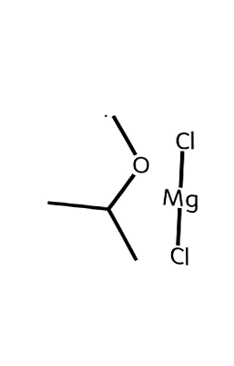 [CH2]OC(C)C.[Cl][Mg][Cl]